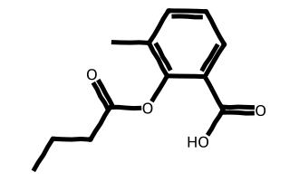 CCCC(=O)Oc1c(C)cccc1C(=O)O